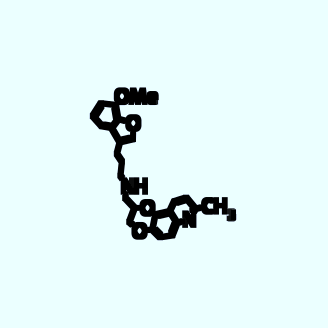 COc1cccc2c(CCCNCC3COc4ccc5nc(C)ccc5c4O3)coc12